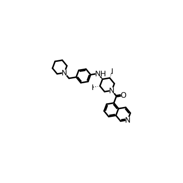 O=C(c1cccc2cnccc12)N1C[C@@H](I)[C@H](Nc2ccc(CN3CCCCC3)cc2)[C@@H](I)C1